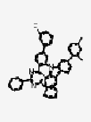 Cc1ccc(-c2ccc3c4ccccc4n(-c4cc(-c5cccc(F)c5)ccc4-c4nc(-c5ccccc5)nc(-c5ccccc5)n4)c3c2)c(C)c1